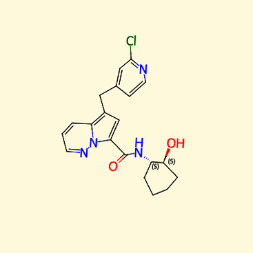 O=C(N[C@H]1CCCC[C@@H]1O)c1cc(Cc2ccnc(Cl)c2)c2cccnn12